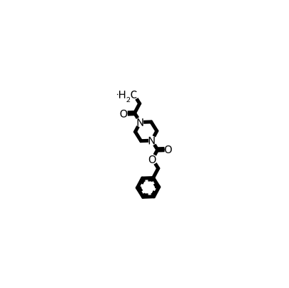 [CH2]CC(=O)N1CCN(C(=O)OCc2ccccc2)CC1